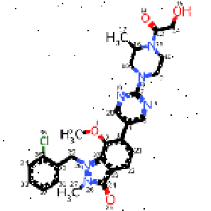 COc1c(-c2cnc(N3CCN(C(=O)CO)C(C)C3)nc2)ccc2c(=O)n(C)n(Cc3ccccc3Cl)c12